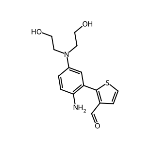 Nc1ccc(N(CCO)CCO)cc1-c1sccc1C=O